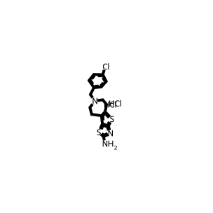 Cl.Cl.Nc1nc2sc3c(c2s1)CCN(Cc1ccc(Cl)cc1)CC3